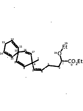 CCOC(=O)C(CC/C=C\C1(C)C=CC2(C=CCC=C2)C=C1)OCC